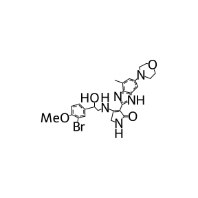 COc1ccc(C(O)CNC2=C(c3nc4c(C)cc(N5CCOCC5)cc4[nH]3)C(=O)NC2)cc1Br